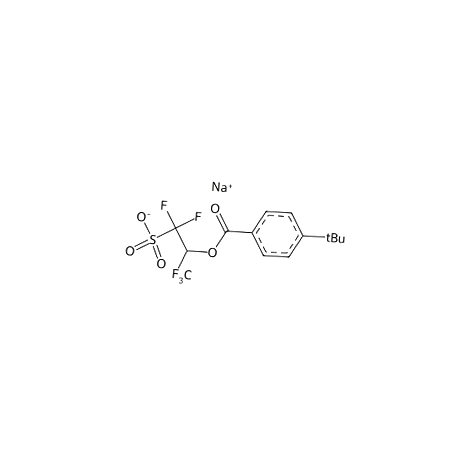 CC(C)(C)c1ccc(C(=O)OC(C(F)(F)F)C(F)(F)S(=O)(=O)[O-])cc1.[Na+]